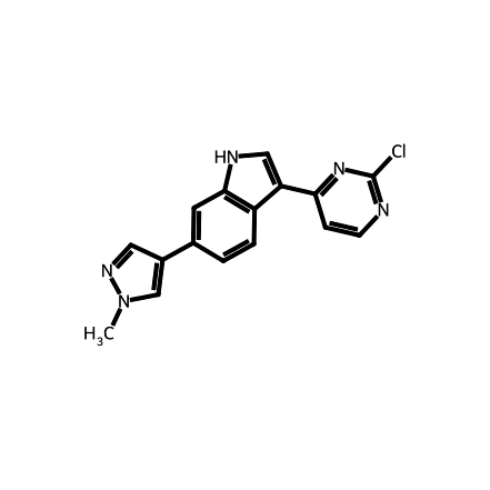 Cn1cc(-c2ccc3c(-c4ccnc(Cl)n4)c[nH]c3c2)cn1